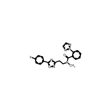 CN(CCc1noc(-c2ccc(F)cc2)n1)C(=O)c1ccccc1-n1nccn1